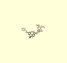 Cc1cc(OCC2CCOCC2)cc(C)c1-c1c(C#N)ccc2c1CC[C@H]2Oc1ccc2c(c1)OCC2C(C)C(=O)O